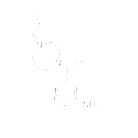 CCCN1CCCN(C(=O)c2cccc(N)c2)CC1